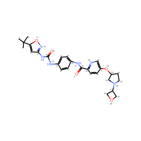 CC(C)(C)c1cc(NC(=O)Nc2ccc(NC(=O)c3ccc(OC4CCN(C5COC5)C4)cn3)cc2)no1